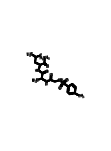 CC(=O)C(CC(C)C)NC(=O)C(C)NC(=O)CNS(=O)(=O)c1ccc(C)cc1